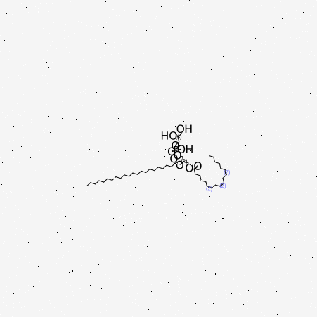 CCCCC/C=C\C/C=C\C/C=C\CCCCC(=O)OC[C@H](COP(=O)(O)OC[C@@H](O)CO)OC(=O)CCCCCCCCCCCCCCCCCCCCC